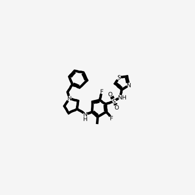 Cc1c(NC2CCN(Cc3ccccc3)C2)cc(F)c(S(=O)(=O)Nc2cscn2)c1F